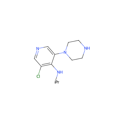 CC(C)Nc1c(Cl)cncc1N1CCNCC1